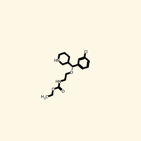 CCOC(=O)NCCO[C@@H](c1cccc(Cl)c1)C1CCCNC1